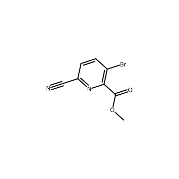 COC(=O)c1nc(C#N)ccc1Br